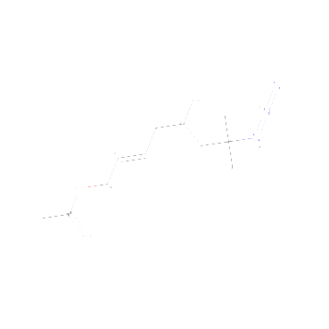 CC(=O)OC/C=C/CC(C)CC(C)(C)N=[N+]=[N-]